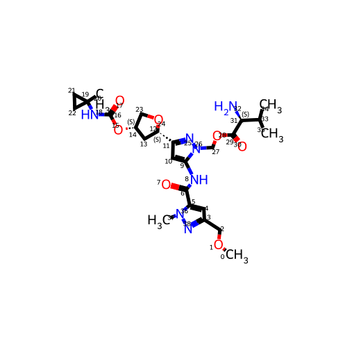 COCc1cc(C(=O)Nc2cc([C@@H]3C[C@H](OC(=O)NC4(C)CC4)CO3)nn2COC(=O)[C@@H](N)C(C)C)n(C)n1